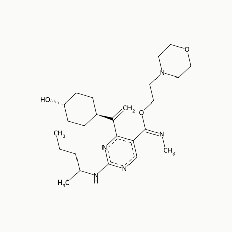 C=C(c1nc(NC(C)CCC)ncc1/C(=N\C)OCCN1CCOCC1)[C@H]1CC[C@H](O)CC1